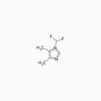 Cc1ncn(C(F)F)c1C